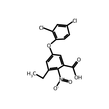 CCc1cc(Oc2ccc(Cl)cc2Cl)cc(C(=O)O)c1[N+](=O)[O-]